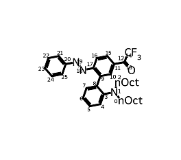 CCCCCCCCN(CCCCCCCC)c1ccccc1-c1cc(C(=O)C(F)(F)F)ccc1N=Nc1ccccc1